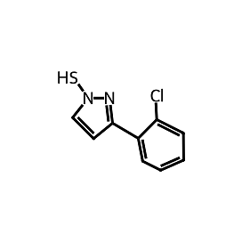 Sn1ccc(-c2ccccc2Cl)n1